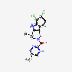 COc1cnc(C(=O)N2Cc3c([nH]c4c(Cl)c(Cl)ccc34)[C@H](C#N)C2)nc1